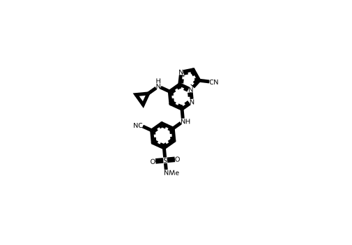 CNS(=O)(=O)c1cc(C#N)cc(Nc2cc(NC3CC3)c3ncc(C#N)n3n2)c1